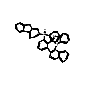 O=P(c1ccccc1)(c1ccc2c(c1)Cc1ccccc1-2)c1cccc2c3ccc4ccccc4c3n3c4ccccc4nc3c12